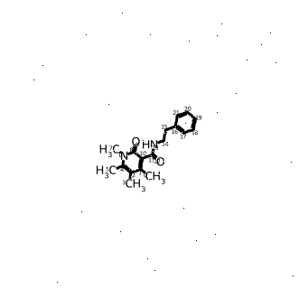 Cc1c(C)c(C)n(C)c(=O)c1C(=O)NCCc1ccccc1